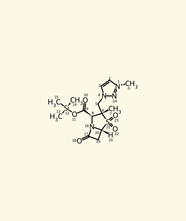 C[n+]1ccn(C[C@@]2(C)[C@H](C(=O)O[Si](C)(C)C)N3C(=O)C[C@H]3S2(=O)=O)n1